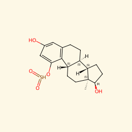 C[C@]12CC[C@@H]3c4c(cc(O)cc4O[SH](=O)=O)CC[C@H]3[C@@H]1CC[C@H]2O